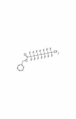 O=C(OCc1ccccc1)C(F)(F)C(F)(F)C(F)(F)C(F)(F)C(F)(F)C(F)(F)C(F)(F)C(F)(F)F